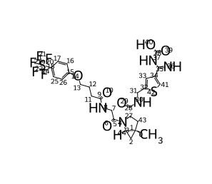 C[C@@]12C[C@@H]1N(C(=O)CNC(=O)CCCOc1ccc(S(F)(F)(F)(F)F)cc1)[C@H](C(=O)NCc1cc(C(=N)NC(=O)O)cs1)C2